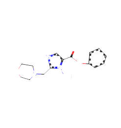 Cn1c(C(=O)Oc2ccccc2)cnc1CN1CCOCC1